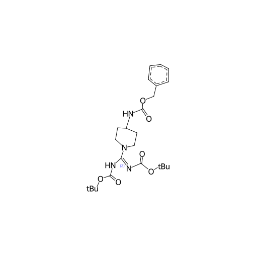 CC(C)(C)OC(=O)/N=C(/NC(=O)OC(C)(C)C)N1CCC(NC(=O)OCc2ccccc2)CC1